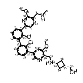 CNCc1ncc(-c2cccc(-c3cccc(-c4cnc(CN[C@H]5C[C@@H](CO)C5)c(OC)n4)c3Cl)c2Cl)nc1OC